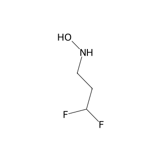 ONCCC(F)F